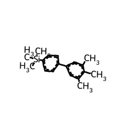 Cc1cc(-c2ccc([Si](C)(C)C)cc2)cc(C)c1C